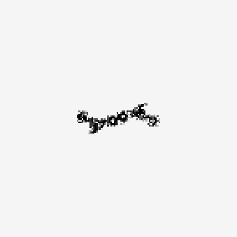 C=CC(=O)OC(COc1ccc(-c2ccc(OCC(CSCCC3SCCS3)OC(=O)C=C)cc2)cc1)CSCCC1SCCS1